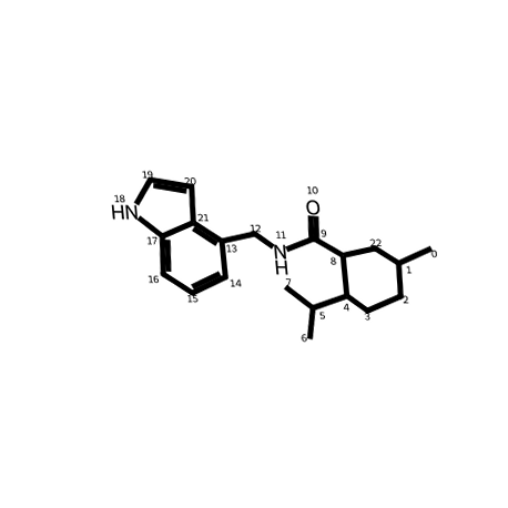 CC1CCC(C(C)C)C(C(=O)NCc2cccc3[nH]ccc23)C1